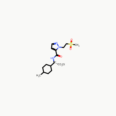 CCOC(=O)[C@@H](NC(=O)c1ccnn1CCS(C)(=O)=O)C1CCC(C)CC1